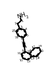 NCCc1ccc(C#Cc2cccc3ccccc23)cc1